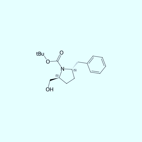 CC(C)(C)OC(=O)N1[C@H](CO)CC[C@H]1Cc1ccccc1